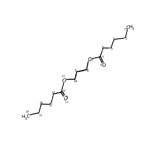 CCCCCC(=O)O[CH]CCOC(=O)CCCCC